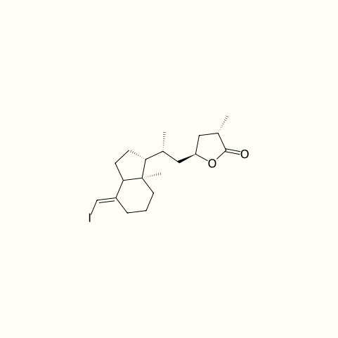 C[C@H](C[C@H]1C[C@H](C)C(=O)O1)[C@H]1CCC2C(=CI)CCC[C@@]21C